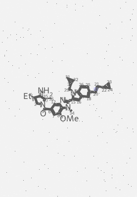 CC[C@@H]1CN(C(=O)c2cc(OC)c3c(c2)nc(-c2cc4cc(/C=C/C5CC5)ccc4n2CC2CC2)n3C)[C@H](C)[C@H]1N